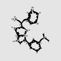 CN(C)c1cccc(-c2cnc3sc(C(N)c4cccnc4)nn23)c1